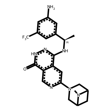 C[C@@H](Nc1n[nH]c(=O)c2cnc(N3CC4CC(C3)N4C)cc12)c1cc(N)cc(C(F)(F)F)c1